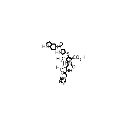 C[C@@H](NC(=O)Cn1cnnn1)[C@H]1C(=O)N2C(C(=O)O)=C(S[C@@H]3CN[C@H](C(=O)N4CCC5NCCC5C4)C3)[C@H](C)[C@H]12